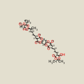 CCC1(C)OC(=O)C(/C=C/C=C/C=C2C(=O)OC3(CCC4(CC3)OC(=O)C(=C/C=C/C=C/C(C)=C(\O)OC(C)(CC)OC=O)C(=O)O4)OC2=O)=C(O)O1